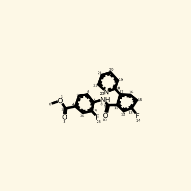 COC(=O)c1ccc(NC(=O)c2cc(F)ccc2-c2ccccn2)c(F)c1